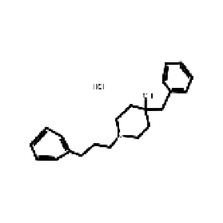 Cl.OC1(Cc2ccccc2)CCN(CCCc2ccccc2)CC1